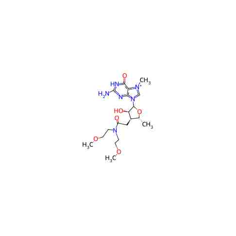 COCCN(CCOC)C(=O)C[C@@H]1[C@@H](C)OC(n2c[n+](C)c3c(=O)[nH]c(N)nc32)[C@@H]1O